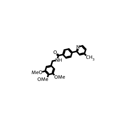 COc1cc(CNC(=O)c2ccc(-c3cc(C)ccn3)cc2)cc(OC)c1OC